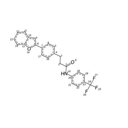 O=C(CCc1ccc(-c2cc3ccccc3o2)cc1)Nc1ccc(C(F)(F)F)cc1